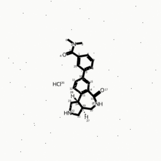 CN(C)C(=O)c1cccc(-c2ccc3c(c2)C(=O)NC[C@H]2CNC[C@H]32)c1.Cl